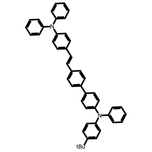 CC(C)(C)c1ccc(N(c2ccccc2)c2ccc(-c3ccc(/C=C/c4ccc(N(c5ccccc5)c5ccccc5)cc4)cc3)cc2)cc1